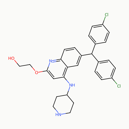 OCCOc1cc(NC2CCNCC2)c2cc(C(c3ccc(Cl)cc3)c3ccc(Cl)cc3)ccc2n1